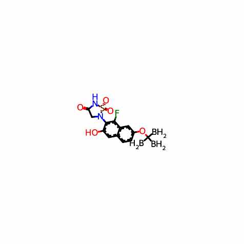 BC(B)(B)Oc1ccc2cc(O)c(N3CC(=O)NS3(=O)=O)c(F)c2c1